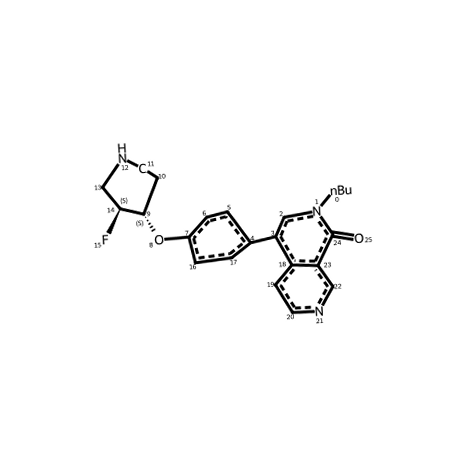 CCCCn1cc(-c2ccc(O[C@H]3CCNC[C@@H]3F)cc2)c2ccncc2c1=O